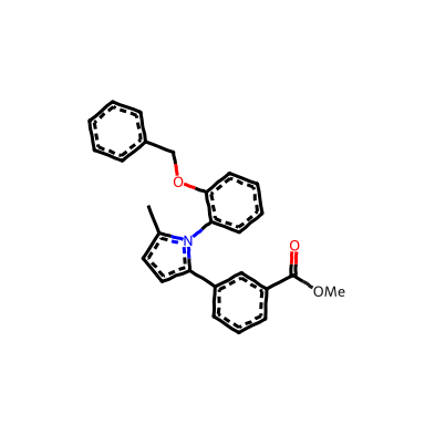 COC(=O)c1cccc(-c2ccc(C)n2-c2ccccc2OCc2ccccc2)c1